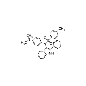 Cc1ccc(S(=O)(=O)C(c2ccc(N(C)C)cc2)c2c(-c3ccccc3)[nH]c3ccccc23)cc1